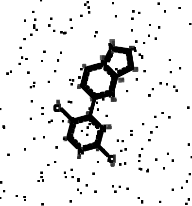 Clc1ncc(Cl)c(-c2ccn3nccc3n2)n1